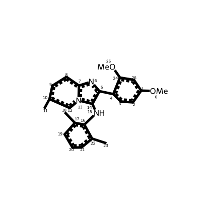 COc1ccc(-c2nc3ccc(C)cn3c2Nc2c(C)cccc2C)c(OC)c1